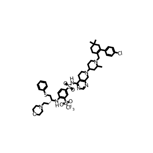 CC1CC(N2CCc3c(ncnc3NS(=O)(=O)c3ccc(N[C@H](CCN4CCOCC4)CSc4ccccc4)c(S(=O)(=O)C(F)(F)F)c3)C2)CCN1CC1=C(c2ccc(Cl)cc2)CC(C)(C)CC1